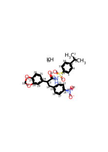 CC(C)c1ccc(S(=O)(=O)NC(=O)C(Cc2ccc([N+](=O)[O-])cc2)c2ccc3c(c2)OCO3)cc1.[KH]